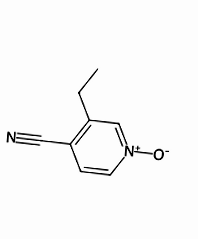 CCc1c[n+]([O-])ccc1C#N